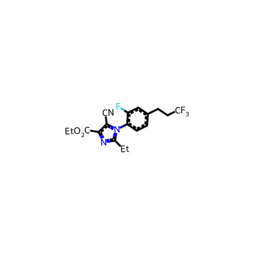 CCOC(=O)c1nc(CC)n(-c2ccc(CCC(F)(F)F)cc2F)c1C#N